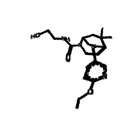 CCOc1ccc(N2CC3CC(C)(C)C2CCN3C(=O)NCCO)cn1